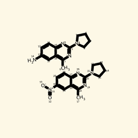 Cc1nc(N2CCCC2)nc2ccc(N)cc12.Cc1nc(N2CCCC2)nc2ccc([N+](=O)[O-])cc12